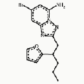 CCCC(Cc1nc2cc(Br)cc(N)n2n1)c1ccco1